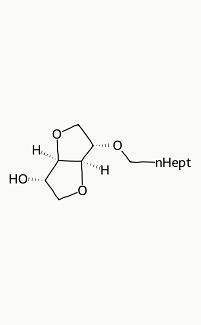 CCCCCCCCO[C@H]1CO[C@H]2[C@@H]1OC[C@@H]2O